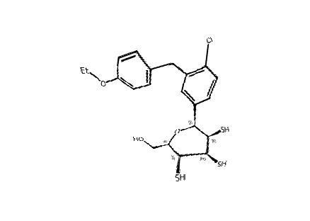 CCOc1ccc(Cc2cc([C@@H]3O[C@H](CO)[C@H](S)[C@H](S)[C@@H]3S)ccc2Cl)cc1